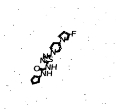 O=C(Nc1nnc(N2CCC(N3CC[C@H](F)C3)CC2)s1)NC1CCCC1